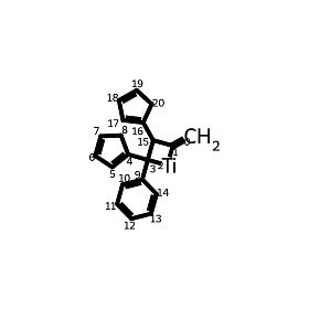 C=[C]1[Ti][C](C2=CC=CC2)(c2ccccc2)C1C1=CC=CC1